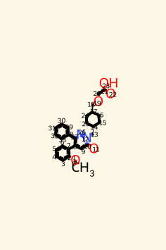 COc1ccccc1-c1cc(=O)n(C[C@H]2CC[C@H](COCC(=O)O)CC2)nc1-c1ccccc1